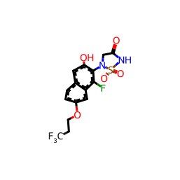 O=C1CN(c2c(O)cc3ccc(OCCC(F)(F)F)cc3c2F)S(=O)(=O)N1